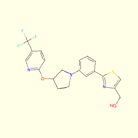 OCc1csc(-c2cccc(N3CCC(Oc4ccc(C(F)(F)F)cn4)C3)c2)n1